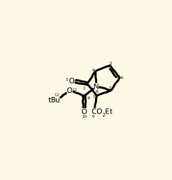 CCOC(=O)C1C(=O)C2C=CC1N2C(=O)OC(C)(C)C